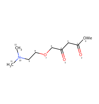 COC(=O)CC(=O)COCCN(C)C